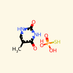 Cc1c[nH]c(=O)[nH]c1=O.O=P(O)(O)S